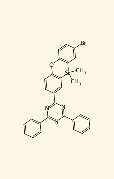 C[Si]1(C)c2cc(Br)ccc2Oc2ccc(-c3nc(-c4ccccc4)nc(-c4ccccc4)n3)cc21